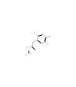 CCc1cc(I)c(C)cc1Cc1csc(C)n1